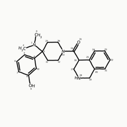 CN(C)C1(c2cccc(O)c2)CCN(C(=O)C2CNCc3ccccc32)CC1